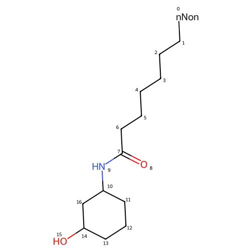 CCCCCCCCCCCCCCCC(=O)NC1CCCC(O)C1